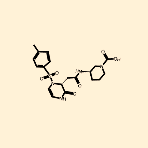 Cc1ccc(S(=O)(=O)N2C=CNC(=O)[C@H]2CC(=O)N[C@@H]2CCCN(C(=O)O)C2)cc1